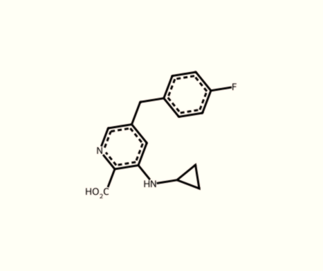 O=C(O)c1ncc(Cc2ccc(F)cc2)cc1NC1CC1